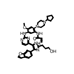 C=CC(=O)Nc1cc(Nc2nccc(-c3[nH]c(CCCO)nc3-c3ccc4ccoc4c3)n2)c(OC)cc1N1CCN(C2CCCC2)CC1